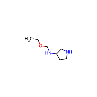 CCOCNC1CCNC1